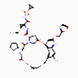 C=C[C@@H]1CC1(NC(=O)[C@@H]1C[C@@H]2CN1C(=O)[C@H](C1CCCC1)NC(=O)OCC(C)(C)CCCc1cc3c(cc(OCc4ncco4)nc3cc1OC)O2)C(=O)NS(=O)(=O)C1CC1